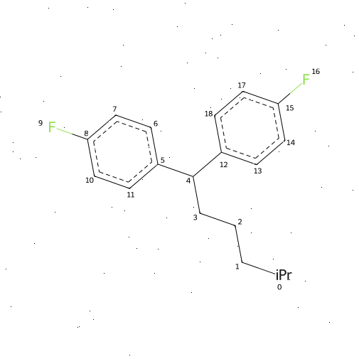 CC(C)CCCC(c1ccc(F)cc1)c1ccc(F)cc1